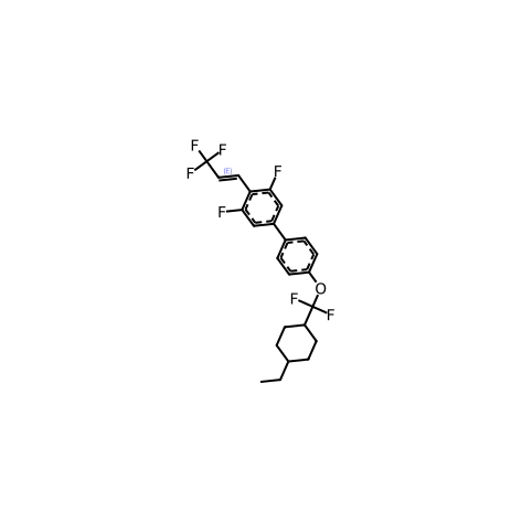 CCC1CCC(C(F)(F)Oc2ccc(-c3cc(F)c(/C=C/C(F)(F)F)c(F)c3)cc2)CC1